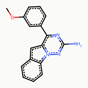 COc1cccc(-c2nc(N)nn3c2cc2ccccc23)c1